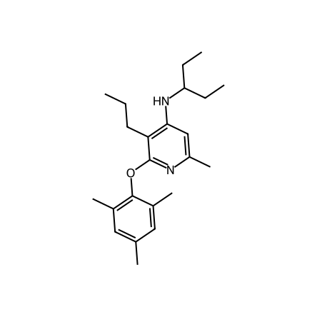 CCCc1c(NC(CC)CC)cc(C)nc1Oc1c(C)cc(C)cc1C